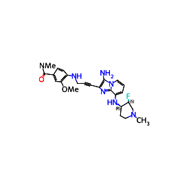 CNC(=O)c1ccc(NCC#Cc2nc3c(N[C@@H]4CCN(C)C[C@@H]4F)cccn3c2N)c(OC)c1